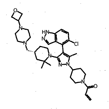 C=CC(=O)N1CCC(n2nc(N3CC[C@@H](CN4CCN(C5COC5)CC4)CC3(C)C)c(-c3c(Cl)ccc4[nH]ncc34)c2C)CC1